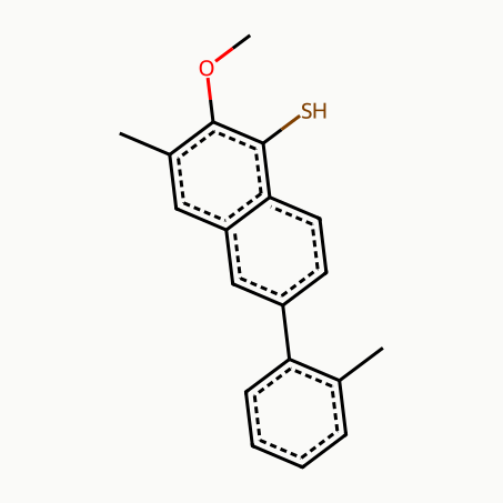 COc1c(C)cc2cc(-c3ccccc3C)ccc2c1S